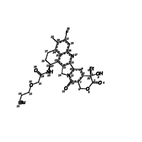 CC[C@@]1(O)C(=O)OCc2c1cc1n(c2=O)Cc2c-1nc1cc(F)c(C)c3c1c2[C@@H](NC(=O)COCCC(C)(C)C)CC3